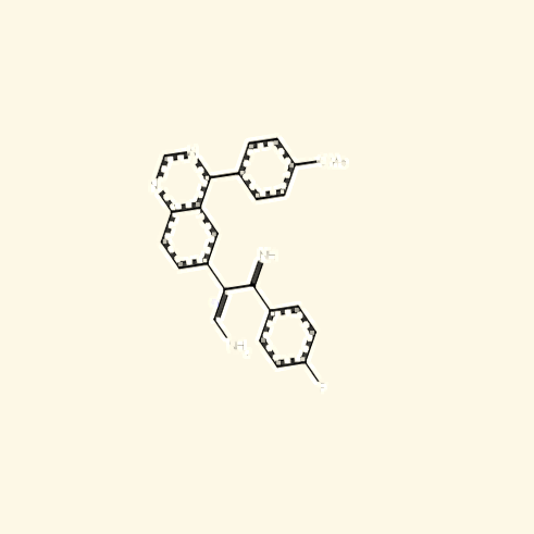 COc1ccc(-c2ncnc3ccc(/C(=C/N)C(=N)c4ccc(F)cc4)cc23)cc1